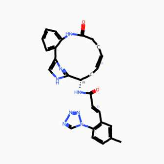 Cc1ccc(-n2cnnn2)c(/C=C/C(=O)N[C@H]2C/C=C\CCC(=O)Nc3ccccc3-c3c[nH]c2n3)c1